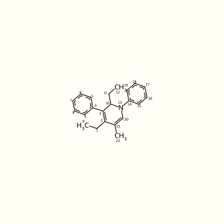 CCC1=C(c2ccccc2)C(CC)N(c2ccccc2)[C]=C1C